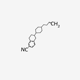 C=CCCC1CCC(C2CCc3cc(C#N)ccc3C2)CC1